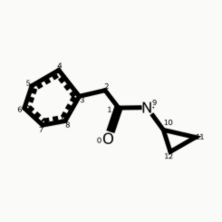 O=C(Cc1ccccc1)[N]C1CC1